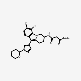 CNC(=O)CC(=O)NC1CCc2c(-c3cnn(C4CCCCO4)c3)c3ccc(Cl)c(Cl)c3n2C1